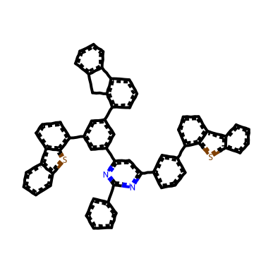 c1ccc(-c2nc(-c3cccc(-c4cccc5c4sc4ccccc45)c3)cc(-c3cc(-c4cccc5c4Cc4ccccc4-5)cc(-c4cccc5c4sc4ccccc45)c3)n2)cc1